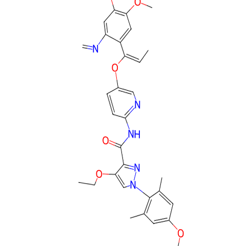 C=Nc1cc(OC)c(OC)cc1/C(=C\C)Oc1ccc(NC(=O)c2nn(-c3c(C)cc(OC)cc3C)cc2OCC)nc1